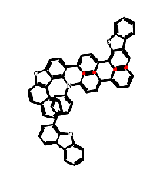 c1ccc(-c2ccc(N(c3ccc(-c4cccc5c4oc4ccccc45)cc3)c3c(-c4ccc(-c5cccc6c5sc5ccccc56)cc4)ccc4oc5ccc6ccccc6c5c34)cc2)cc1